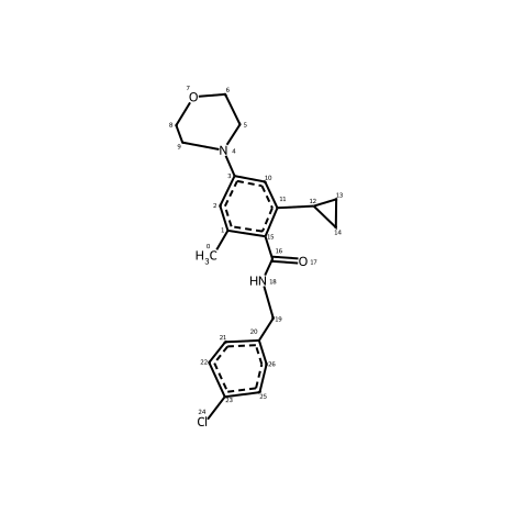 Cc1cc(N2CCOCC2)cc(C2CC2)c1C(=O)NCc1ccc(Cl)cc1